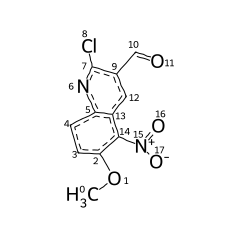 COc1ccc2nc(Cl)c(C=O)cc2c1[N+](=O)[O-]